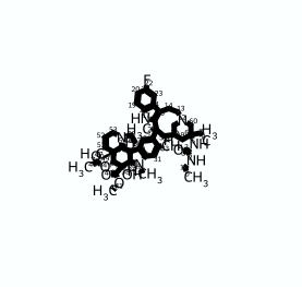 CCNC(=O)NC1(CC)C[C@H]2CN(CCc3c([nH]c4ccc(F)cc34)[C@@](C)(c3cc4c(cc3C)N(C)[C@H]3C(O)(C(=O)OC)[C@H](OC(C)=O)[C@]5(CC)C=CCN6CC[C@]43[C@@H]65)C2)C1